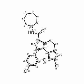 O=C(NN1CCCCCC1)c1nn(-c2ccc(Cl)cc2Cl)c2c1CCc1sc(Cl)cc1-2